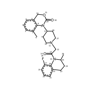 Cc1cccc2c1N(C1CCN(CC(=O)N3c4c(F)cccc4CCC3C)CC1)C(=O)OC2